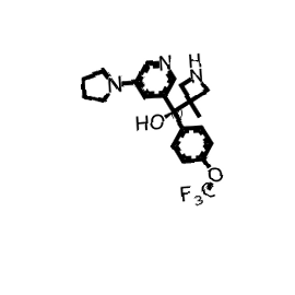 CC1([C@](O)(c2ccc(OC(F)(F)F)cc2)c2cncc(N3CCCC3)c2)CNC1